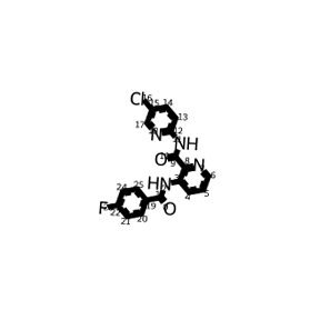 O=C(Nc1cccnc1C(=O)Nc1ccc(Cl)cn1)c1ccc(F)cc1